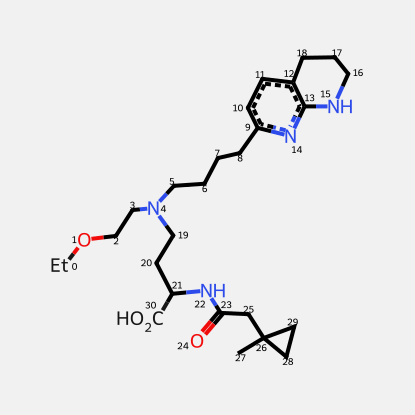 CCOCCN(CCCCc1ccc2c(n1)NCCC2)CCC(NC(=O)CC1(C)CC1)C(=O)O